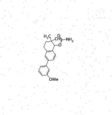 COc1cccc(-c2ccc3c(c2)CCC(C)(C)C3OC(N)=O)c1